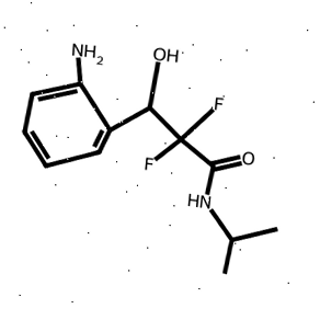 CC(C)NC(=O)C(F)(F)C(O)c1ccccc1N